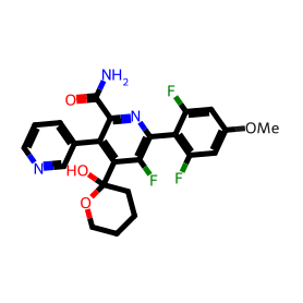 COc1cc(F)c(-c2nc(C(N)=O)c(-c3cccnc3)c(C3(O)CCCCO3)c2F)c(F)c1